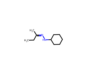 CCC(C)=NNC1CCCCC1